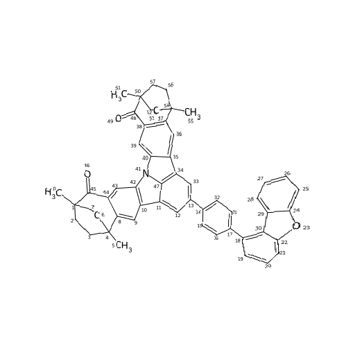 CC12CCC(C)(CC1)c1cc3c4cc(-c5ccc(-c6cccc7oc8ccccc8c67)cc5)cc5c6cc7c(cc6n(c3cc1C2=O)c45)C(=O)C1(C)CCC7(C)CC1